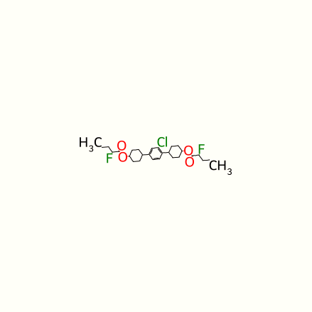 CCCC(F)C(=O)OC1CCC(c2ccc(C3CCC(OC(=O)C(F)CCC)CC3)c(Cl)c2)CC1